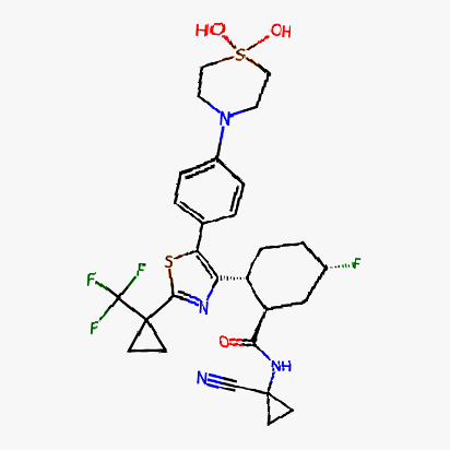 N#CC1(NC(=O)[C@@H]2C[C@@H](F)CC[C@H]2c2nc(C3(C(F)(F)F)CC3)sc2-c2ccc(N3CCS(O)(O)CC3)cc2)CC1